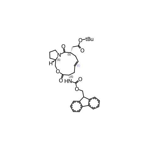 CC(C)(C)OC(=O)C[C@@H]1C/C=C/C[C@H](NC(=O)OCC2c3ccccc3-c3ccccc32)C(=O)OC[C@@H]2CCCN2C1=O